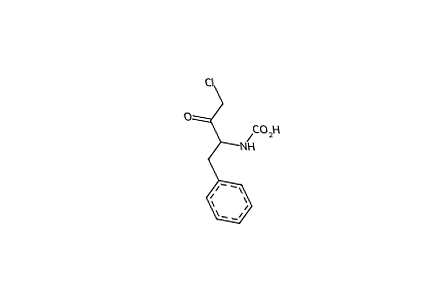 O=C(O)NC(Cc1ccccc1)C(=O)CCl